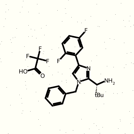 CC(C)(C)[C@@H](N)c1nc(-c2cc(F)ccc2F)cn1Cc1ccccc1.O=C(O)C(F)(F)F